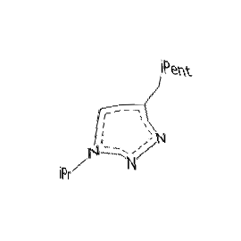 CCCC(C)c1cn(C(C)C)nn1